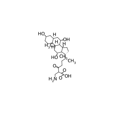 C[C@H](CCC(=O)C(CN)S(=O)(=O)O)[C@H]1CC[C@H]2[C@@H]3[C@H](O)C[C@@H]4C[C@H](O)CC[C@]4(C)[C@H]3C[C@H](O)[C@]12C